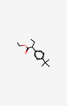 CCOC(=O)C(CC)c1ccc(C(C)(C)C)cc1